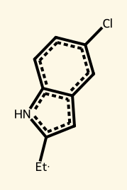 C[CH]c1cc2cc(Cl)ccc2[nH]1